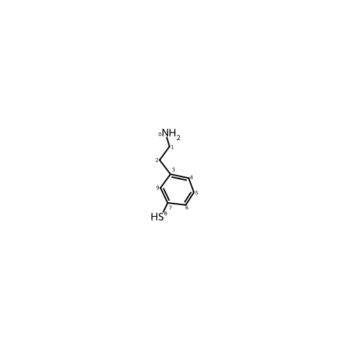 NCCc1cccc(S)c1